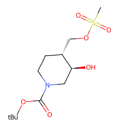 CC(C)(C)OC(=O)N1CC[C@H](COS(C)(=O)=O)[C@@H](O)C1